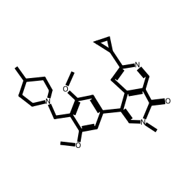 COc1cc(-c2cn(C)c(=O)c3cnc(C4CC4)cc23)cc(OC)c1CN1CCC(C)CC1